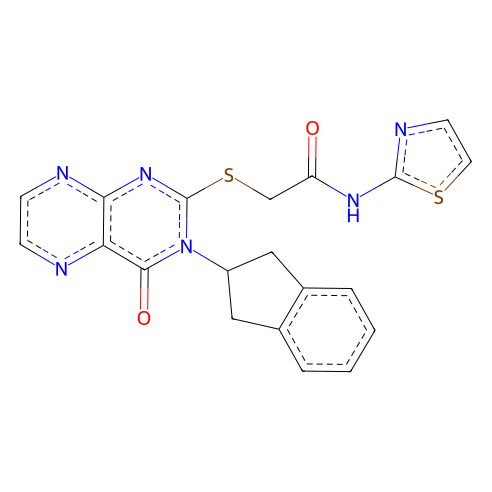 O=C(CSc1nc2nccnc2c(=O)n1C1Cc2ccccc2C1)Nc1nccs1